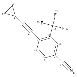 N#Cc1ccc(C#CC2CC2)c(C(F)(F)F)c1